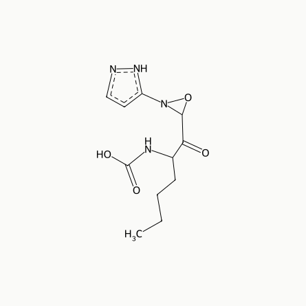 CCCCC(NC(=O)O)C(=O)C1ON1c1ccn[nH]1